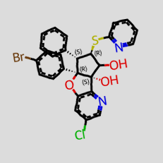 OC1[C@H](Sc2ccccn2)[C@@H](c2ccccc2)[C@]2(c3ccc(Br)cc3)Oc3cc(Cl)cnc3[C@]12O